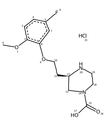 COc1ccc(F)cc1OCC[C@@H]1CN(C(=O)O)CCN1.Cl